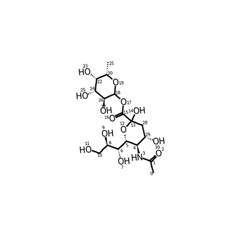 CC(=O)N[C@H]1[C@H]([C@H](O)[C@H](O)CO)OC(O)(C(=O)OC2O[C@@H](C)[C@@H](O)[C@@H](O)[C@@H]2O)C[C@@H]1O